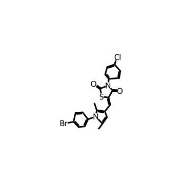 Cc1cc(C=C2SC(=O)N(c3ccc(Cl)cc3)C2=O)c(C)n1-c1ccc(Br)cc1